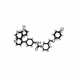 O=C(NC1CCC(c2ccnc3cnc4[nH]ccc4c23)CC1)N1CCCC(COc2ccc(Cl)cc2)C1